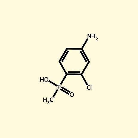 CP(=O)(O)c1ccc(N)cc1Cl